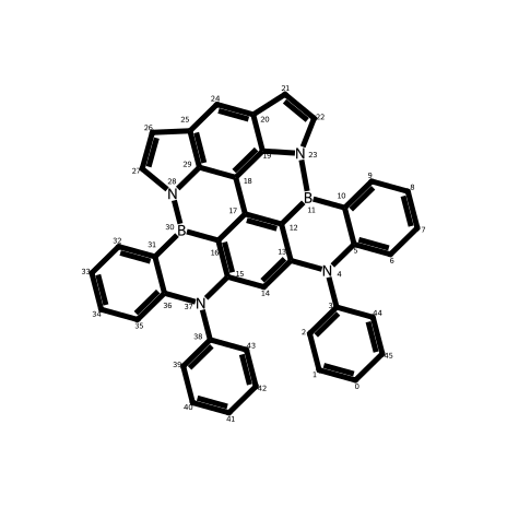 c1ccc(N2c3ccccc3B3c4c2cc2c5c4-c4c6c(ccn63)cc3ccn(c43)B5c3ccccc3N2c2ccccc2)cc1